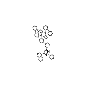 c1ccc(-c2nc(-c3cccc(-c4ccc5c(c4)C4(c6ccccc6C6(c7ccccc7-c7ccccc76)c6ccccc64)c4c-5ccc5c4sc4ccccc45)c3)cc(-c3cccc4ccccc34)n2)cc1